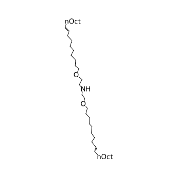 CCCCCCCCC=CCCCCCCCCOCCNCCOCCCCCCCCC=CCCCCCCCC